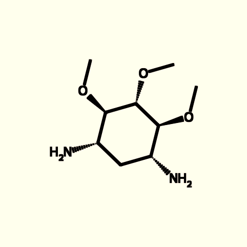 CO[C@@H]1[C@@H](OC)[C@H](N)C[C@H](N)[C@H]1OC